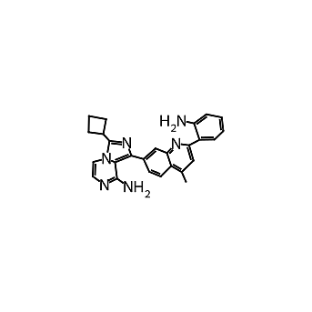 Cc1cc(-c2ccccc2N)nc2cc(-c3nc(C4CCC4)n4ccnc(N)c34)ccc12